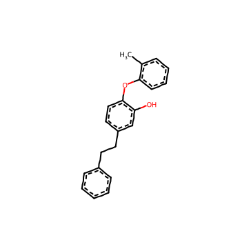 Cc1ccccc1Oc1ccc(CCc2ccccc2)cc1O